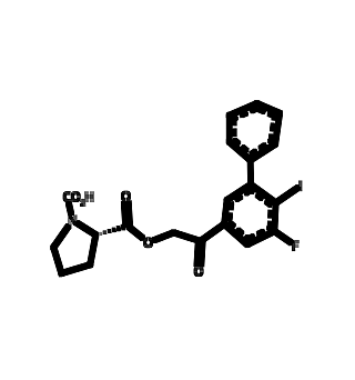 O=C(COC(=O)[C@@H]1CCCN1C(=O)O)c1cc(F)c(I)c(-c2ccccc2)c1